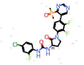 CP(C)(=O)c1ncncc1-c1ccc(N2CC[C@@H](NC(=O)Nc3ccc(Cl)cc3F)C2=O)c(F)c1F